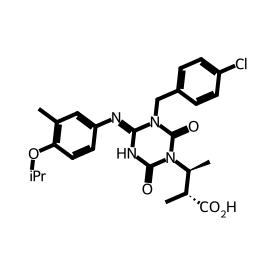 Cc1cc(/N=c2\[nH]c(=O)n([C@@H](C)[C@@H](C)C(=O)O)c(=O)n2Cc2ccc(Cl)cc2)ccc1OC(C)C